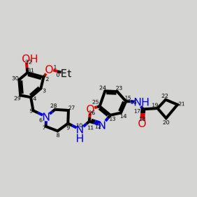 CCOc1cc(CN2CCC(Nc3nc4cc(NC(=O)C5CCC5)ccc4o3)CC2)ccc1O